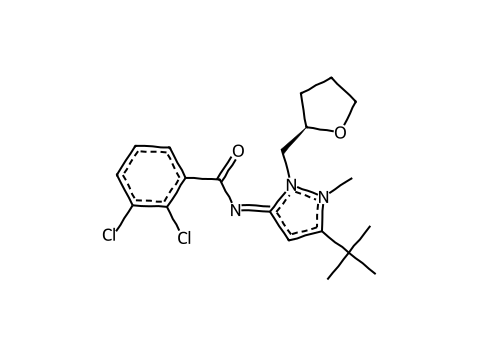 Cn1c(C(C)(C)C)c/c(=N/C(=O)c2cccc(Cl)c2Cl)n1C[C@H]1CCCO1